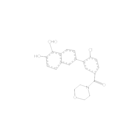 O=Cc1c(O)ccc2cc(-c3cc(C(=O)N4CCOCC4)ccc3Cl)ccc12